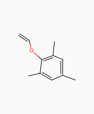 C=COc1c(C)cc(C)cc1C